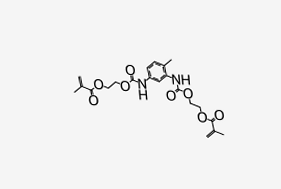 C=C(C)C(=O)OCCOC(=O)Nc1ccc(C)c(NC(=O)OCCOC(=O)C(=C)C)c1